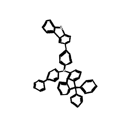 c1ccc(-c2ccc(N(c3ccc(-c4ccc5sc6ccccc6c5c4)cc3)c3cccc4c3-c3ccccc3C4(c3ccccc3)c3ccccc3)cc2)cc1